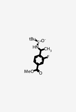 COC(=O)c1ccc(C(C)N[S+]([O-])C(C)(C)C)c(F)c1